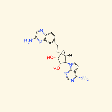 Nc1cnc2ccc(CC[C@]34C[C@@H]3[C@@H](n3ccc5c(N)ncnc53)[C@H](O)[C@@H]4O)cc2n1